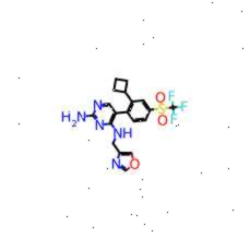 Nc1ncc(-c2ccc(S(=O)(=O)C(F)(F)F)cc2C2CCC2)c(NCc2cocn2)n1